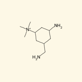 C[N+](C)(C)C1CC(N)CC(CN)C1